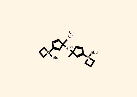 CCCC[Si]1(C2=C[C](C)([Hf+2][C]3(C)C=CC([Si]4(CCCC)CCC4)=C3)C=C2)CCC1.[Cl-].[Cl-]